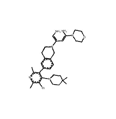 CCc1c(C)nc(C)c(-c2ccc3c(c2)CCN(C(/C=C(\N)N2CCOCC2)=C/N)C3)c1N1CCC(C)(C)CC1